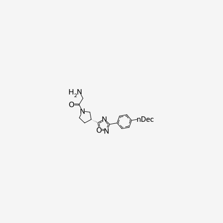 CCCCCCCCCCc1ccc(-c2noc([C@@H]3CCN(C(=O)CN)C3)n2)cc1